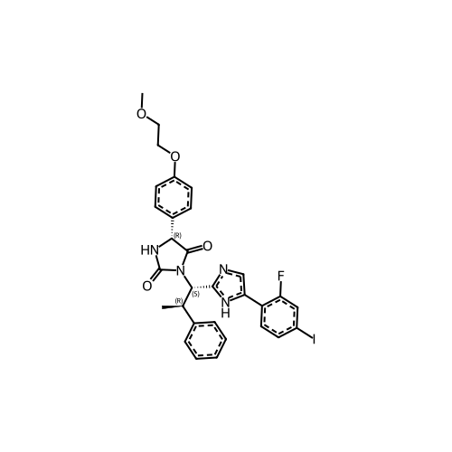 COCCOc1ccc([C@H]2NC(=O)N([C@H](c3ncc(-c4ccc(I)cc4F)[nH]3)[C@H](C)c3ccccc3)C2=O)cc1